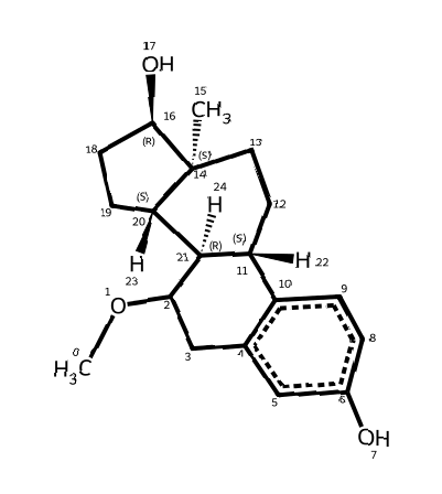 COC1Cc2cc(O)ccc2[C@H]2CC[C@]3(C)[C@H](O)CC[C@H]3[C@H]12